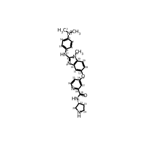 CN(C)c1ccc(Nc2nc3cc(Oc4ccnc(C(=O)N[C@@H]5CCNC5)c4)ccc3n2C)cc1